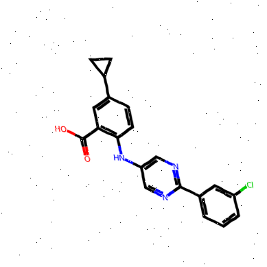 O=C(O)c1cc(C2CC2)ccc1Nc1cnc(-c2cccc(Cl)c2)nc1